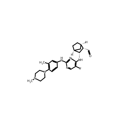 Cc1cc(Nc2ncc(F)c(N[C@@H]3[C@H]4CC[C@H](C4)[C@@H]3C=O)n2)ccc1N1CCN(C)CC1